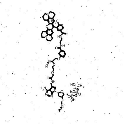 CP(=O)(O)OP(=O)(O)OP(=O)(O)OC[C@H]1O[C@@H](n2cc(CNC(=O)COCCOC(COc3cccc(C(=O)NCCNC(=O)c4ccc(C(=O)O)c(C5=c6cc7c8c(c6Oc6c5cc5c9c6CCCN9CCC5)CCC[N+]=8CCC7)c4)c3)N=[N+]=[N-])c3c(N)ncnc32)CC1OCN=[N+]=[N-]